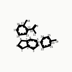 C1=Cc2ccccc2C1.C=C(C)c1ccccc1C.Cc1ccccc1